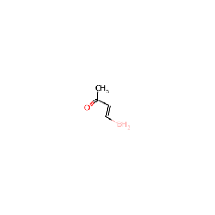 B/C=C/C(C)=O